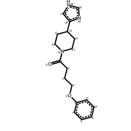 O=C(CCCOc1ccccc1)N1CCC(c2c[nH]cn2)CC1